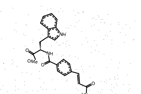 COC(=O)[C@@H](Cc1c[nH]c2ccccc12)NC(=O)c1ccc(/C=C/C(=O)NO)cc1